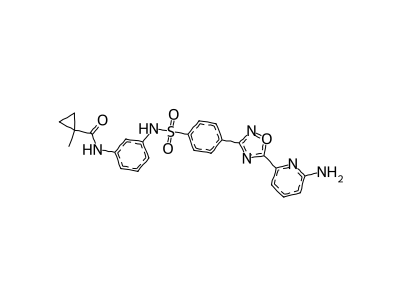 CC1(C(=O)Nc2cccc(NS(=O)(=O)c3ccc(-c4noc(-c5cccc(N)n5)n4)cc3)c2)CC1